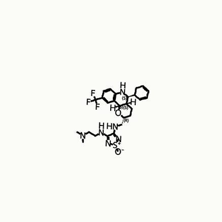 CN(C)CCNc1n[s+]([O-])nc1NC[C@H]1CC[C@@H]2[C@H](O1)c1cc(C(F)(F)F)ccc1N[C@H]2C1C=CC=CC1